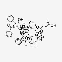 CC(=O)O[C@@]12CO[C@@H]1C[C@H](O)[C@@]1(C)C(=O)[C@H](OC(=O)CCC(=O)O)C3=C(C)[C@@H](OC(=O)[C@H](O)[C@@H](NC(=O)c4ccccc4)c4ccccc4)C[C@@](O)([C@@H](OC(=O)c4ccccc4)[C@H]21)C3(C)C